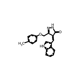 Cc1ccc(OCC2=NNC(=O)C2=Cc2c[nH]c3ccccc23)cc1